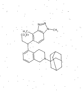 CCOC(=O)CC(c1cccc2c1CCN(C13CC4CC(CC(C4)C1)C3)C2)c1ccc2c(nnn2C)c1C